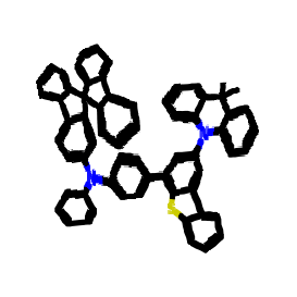 CC1(C)c2ccccc2N(c2cc(-c3ccc(N(c4ccccc4)c4ccc5c(c4)C4(c6ccccc6-c6ccccc64)c4ccccc4-5)cc3)c3sc4ccccc4c3c2)c2ccccc21